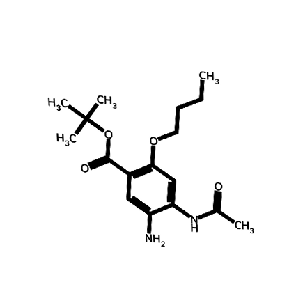 CCCCOc1cc(NC(C)=O)c(N)cc1C(=O)OC(C)(C)C